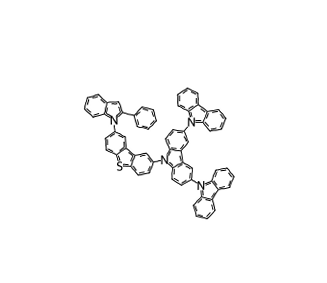 c1ccc(-c2cc3ccccc3n2-c2ccc3sc4ccc(-n5c6ccc(-n7c8ccccc8c8ccccc87)cc6c6cc(-n7c8ccccc8c8ccccc87)ccc65)cc4c3c2)cc1